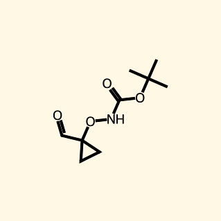 CC(C)(C)OC(=O)NOC1(C=O)CC1